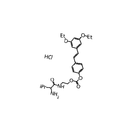 CCOc1cc(C=Cc2ccc(OC(=O)OCCNC(=O)C(N)C(C)C)cc2)cc(OCC)c1.Cl